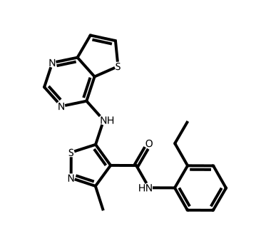 CCc1ccccc1NC(=O)c1c(C)nsc1Nc1ncnc2ccsc12